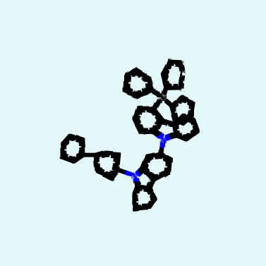 c1ccc(-c2ccc(-n3c4ccccc4c4ccc(-n5c6ccccc6c6c([Si](c7ccccc7)(c7ccccc7)c7ccccc7)cccc65)cc43)cc2)cc1